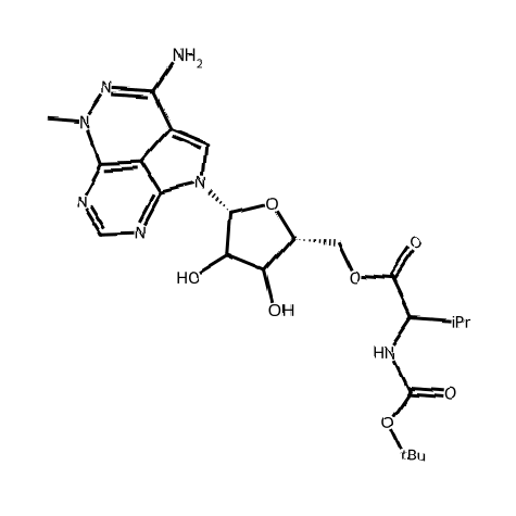 CC(C)C(NC(=O)OC(C)(C)C)C(=O)OC[C@H]1O[C@@H](n2cc3c4c(ncnc42)N(C)N=C3N)C(O)C1O